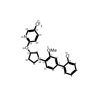 COc1cc(-c2ccccc2Cl)ccc1N1CC[C@@H](Oc2ccc(C(F)(F)F)cn2)C1